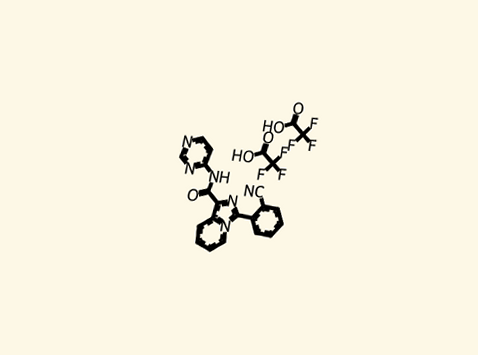 N#Cc1ccccc1-c1nc(C(=O)Nc2ccncn2)c2ccccn12.O=C(O)C(F)(F)F.O=C(O)C(F)(F)F